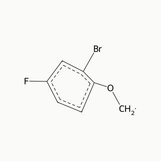 [CH2]Oc1ccc(F)cc1Br